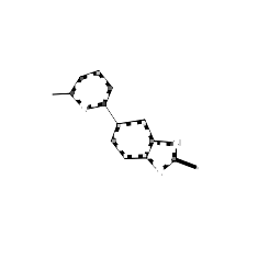 Cc1cccc(-c2ccc3[nH]c(=O)[nH]c3c2)n1